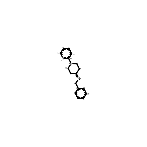 c1ccc(CN=C2CCN(c3ccccn3)CC2)cc1